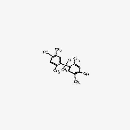 CCCCc1cc(C(C)(CC)c2cc(CCCC)c(O)cc2C)c(C)cc1O